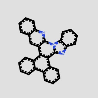 c1ccc2nc3c(cc2c1)c1c2ccccc2c2ccccc2c1c1nc2ccccc2n31